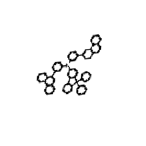 C1=C(c2cccc(N(c3cccc(-c4cc5ccccc5c5ccccc45)c3)c3ccc4c(c3)-c3ccccc3C4(c3ccccc3)c3ccccc3)c2)CCc2ccc3ccccc3c21